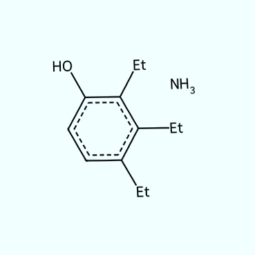 CCc1ccc(O)c(CC)c1CC.N